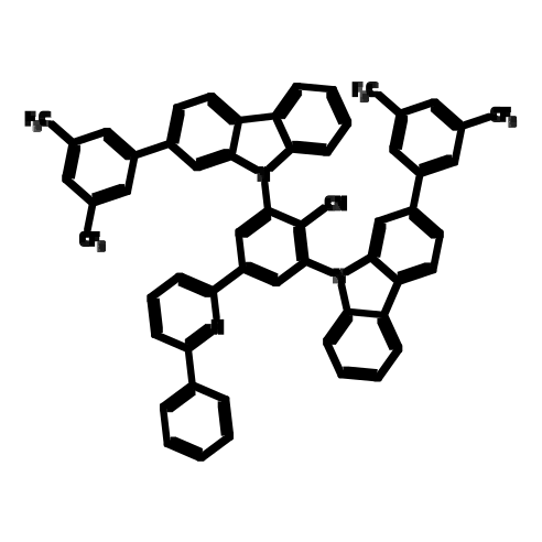 N#Cc1c(-n2c3ccccc3c3ccc(-c4cc(C(F)(F)F)cc(C(F)(F)F)c4)cc32)cc(-c2cccc(-c3ccccc3)n2)cc1-n1c2ccccc2c2ccc(-c3cc(C(F)(F)F)cc(C(F)(F)F)c3)cc21